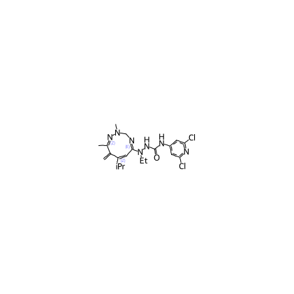 C=C1/C(C(C)C)=C\C(N(CC)NC(=O)Nc2cc(Cl)nc(Cl)c2)=N/CN(C)/N=C\1C